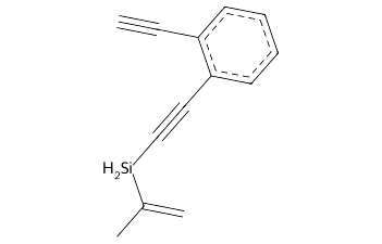 C#Cc1ccccc1C#C[SiH2]C(=C)C